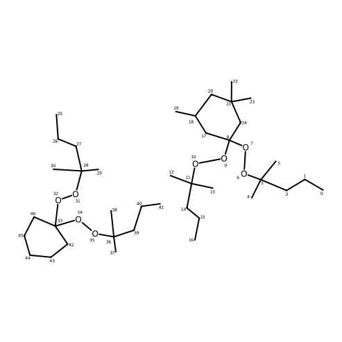 CCCC(C)(C)OOC1(OOC(C)(C)CCC)CC(C)CC(C)(C)C1.CCCC(C)(C)OOC1(OOC(C)(C)CCC)CCCCC1